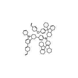 C=CC1C=CC(OC2C=CC(C3(C4CCCCC4)C4C=CCCC4C4CCC(N(C5=CCC(C6CCC7C(C6)C6=CC(C8=CCC(C=C)CC8)CC=C6N7C6CC=CCC6)C=C5)C5CCC6=C(C5)[C@]5(C7=C(CCCC7)C7CCCCC75)C5CCCCC65)CC43)=CC2)CC1